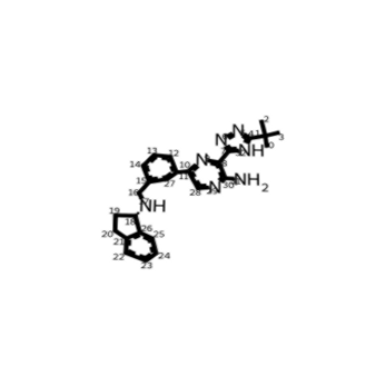 CC(C)(C)c1nnc(-c2nc(-c3cccc(CN[C@H]4CCc5ccccc54)c3)cnc2N)[nH]1